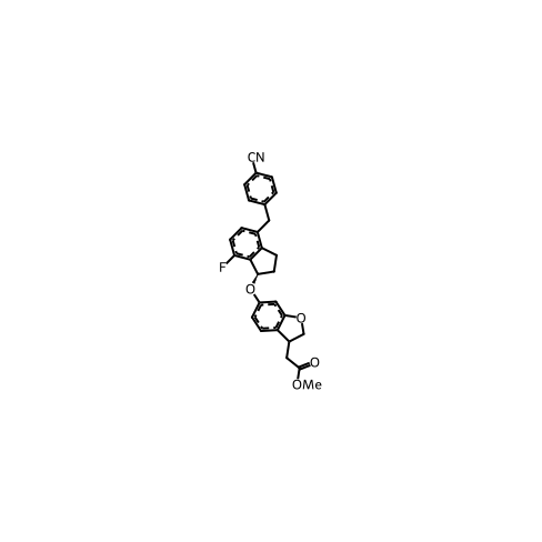 COC(=O)CC1COc2cc(O[C@@H]3CCc4c(Cc5ccc(C#N)cc5)ccc(F)c43)ccc21